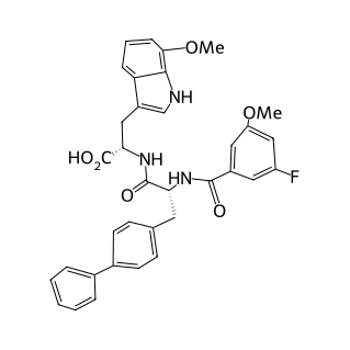 COc1cc(F)cc(C(=O)N[C@H](Cc2ccc(-c3ccccc3)cc2)C(=O)N[C@@H](Cc2c[nH]c3c(OC)cccc23)C(=O)O)c1